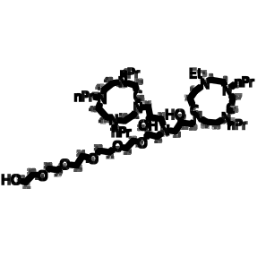 CCCN1CCN(CC)CCCN(CC(O)CN(CCOCCOCCOCCOCCOCCO)CC(O)CN2CCN(CCC)CCN(CCC)CCN(CCC)CC2)CCN(CCC)CC1